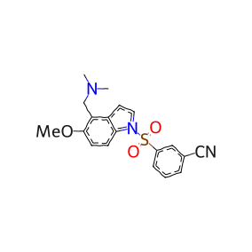 COc1ccc2c(ccn2S(=O)(=O)c2cccc(C#N)c2)c1CN(C)C